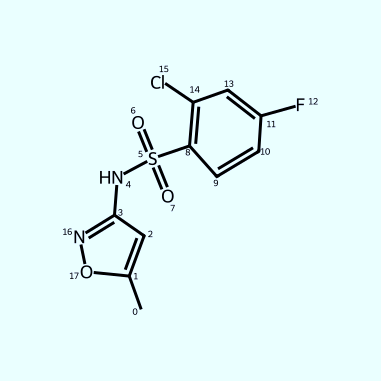 Cc1cc(NS(=O)(=O)c2ccc(F)cc2Cl)no1